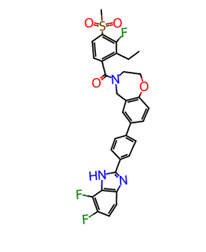 CCc1c(C(=O)N2CCOc3ccc(-c4ccc(-c5nc6ccc(F)c(F)c6[nH]5)cc4)cc3C2)ccc(S(C)(=O)=O)c1F